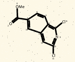 COC(=O)c1ccc2c(Cl)nc(Cl)cc2c1